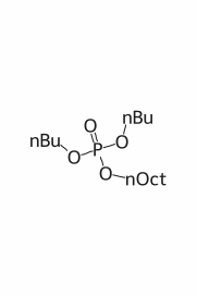 CCCCCCCCOP(=O)(OCCCC)OCCCC